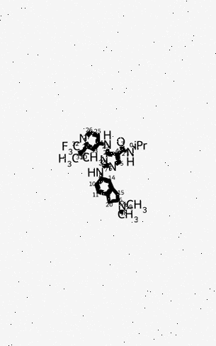 CC(C)NC(=O)c1cnc(Nc2ccc3c(c2)CC(N(C)C)C3)nc1Nc1ccnc(C(C)(C)C(F)(F)F)c1